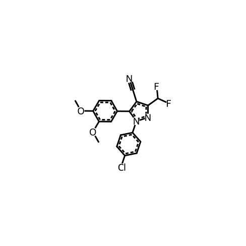 COc1ccc(-c2c(C#N)c(C(F)F)nn2-c2ccc(Cl)cc2)cc1OC